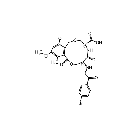 COc1cc(O)c2c(c1C)C(=O)OC[C@H](NCC(=O)c1ccc(Br)cc1)C(=O)N[C@H](C(=O)O)CSC2